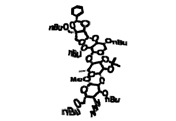 CCCCOC[C@H]1O[C@H](OC)C(O[C@@H]2O[C@H](C)[C@H](O[C@@H]3OC[C@@H](OCCCC)C(O[C@@H]4OC[C@@]5(COCCCC)O[C@@H](c6ccccc6)OC45)C3OCCCC)C3OC(C)(C)OC32)C(OCCCC)[C@H]1N=[N+]=[N-]